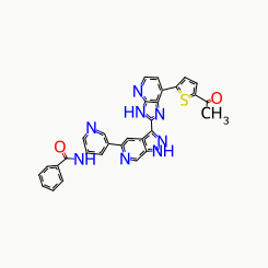 CC(=O)c1ccc(-c2ccnc3[nH]c(-c4n[nH]c5cnc(-c6cncc(NC(=O)c7ccccc7)c6)cc45)nc23)s1